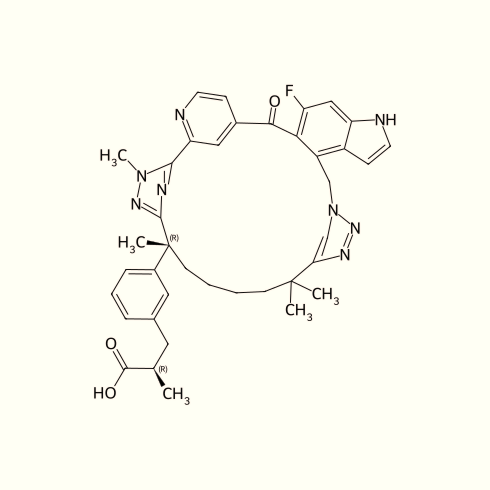 C[C@H](Cc1cccc([C@@]2(C)CCCCC(C)(C)c3cn(nn3)Cc3c(c(F)cc4[nH]ccc34)C(=O)c3ccnc(c3)-c3nc2nn3C)c1)C(=O)O